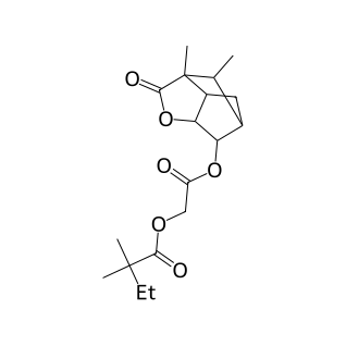 CCC(C)(C)C(=O)OCC(=O)OC1C2CC3C1OC(=O)C3(C)C2C